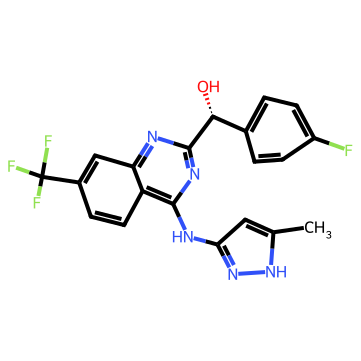 Cc1cc(Nc2nc([C@H](O)c3ccc(F)cc3)nc3cc(C(F)(F)F)ccc23)n[nH]1